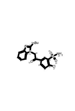 CCCCc1nc2ccccc2n1CC(=O)c1ccc(Cl)c(S(N)(=O)=O)c1